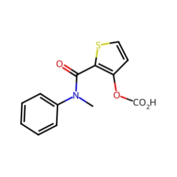 CN(C(=O)c1sccc1OC(=O)O)c1ccccc1